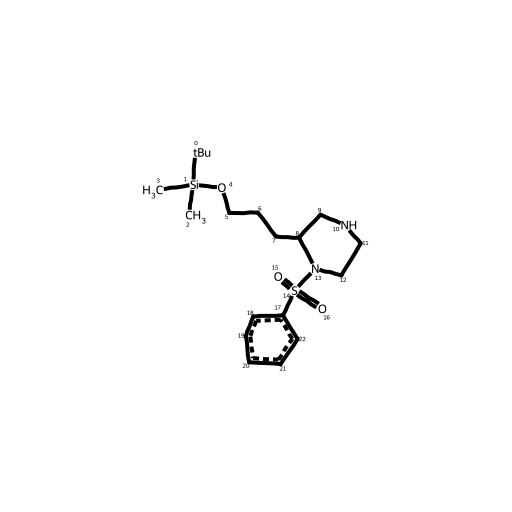 CC(C)(C)[Si](C)(C)OCCCC1CNCCN1S(=O)(=O)c1ccccc1